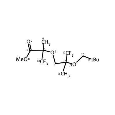 COC(=O)C(C)(OCC(C)(OCC(C)(C)C)C(F)(F)F)C(F)(F)F